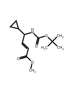 COC(=O)C=CC(NC(=O)OC(C)(C)C)C1CC1